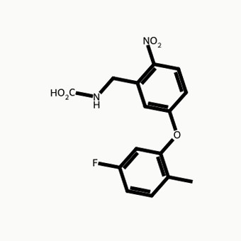 Cc1ccc(F)cc1Oc1ccc([N+](=O)[O-])c(CNC(=O)O)c1